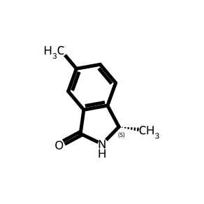 Cc1ccc2c(c1)C(=O)N[C@H]2C